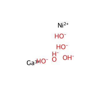 [Ga+3].[Ni+2].[OH-].[OH-].[OH-].[OH-].[OH-]